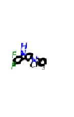 CN(Cc1ccccc1)C1CCc2[nH]c3c(F)cc(F)cc3c2C1